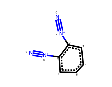 N#[N+]c1ccccc1[N+]#N